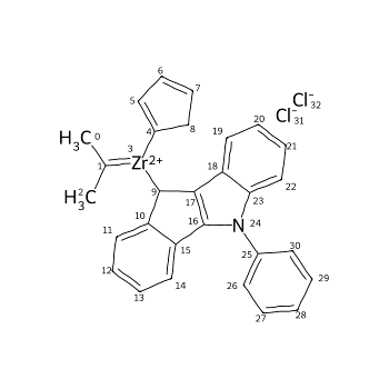 C[C](C)=[Zr+2]([C]1=CC=CC1)[CH]1c2ccccc2-c2c1c1ccccc1n2-c1ccccc1.[Cl-].[Cl-]